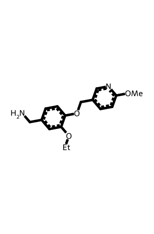 CCOc1cc(CN)ccc1OCc1ccc(OC)nc1